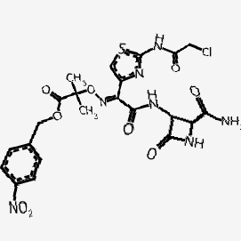 CC(C)(ON=C(C(=O)NC1C(=O)NC1C(N)=O)c1csc(NC(=O)CCl)n1)C(=O)OCc1ccc([N+](=O)[O-])cc1